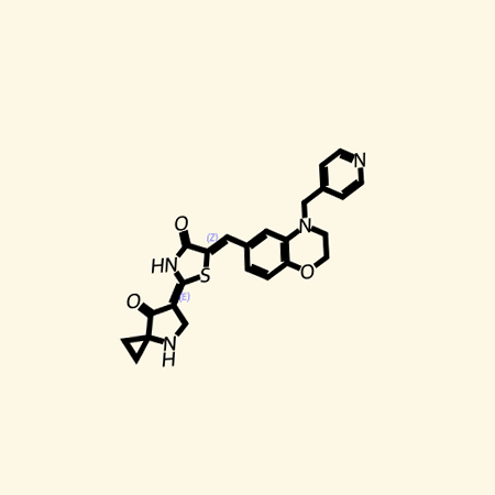 O=C1/C(=c2\[nH]c(=O)/c(=C/c3ccc4c(c3)N(Cc3ccncc3)CCO4)s2)CNC12CC2